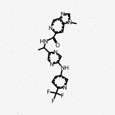 CC(NC(=O)c1cc2c(cn1)ncn2C)c1cnc(Nc2ccc(C(F)(F)F)nc2)cn1